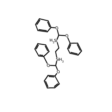 c1ccc(OC(Oc2ccccc2)[SiH2]CC[SiH2]C(Oc2ccccc2)Oc2ccccc2)cc1